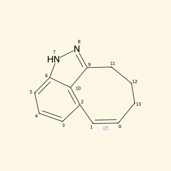 C1=C\c2cccc3[nH]nc(c23)CCC/1